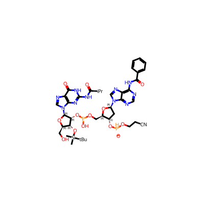 CC(C)C(=O)Nc1nc2c(ncn2[C@@H]2O[C@H](CO)[C@@H](O[Si](C)(C)C(C)(C)C)[C@H]2OP(O)OC[C@H]2O[C@@H](n3cnc4c(NC(=O)c5ccccc5)ncnc43)C[C@@H]2O[PH](=O)OCCC#N)c(=O)[nH]1